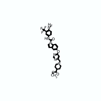 COC(=O)C1CCN(Cc2cc(Oc3ccc4c(ccn4C(=O)Nc4ccc(NF)c(C(F)(F)F)c4)c3)ncn2)CC1